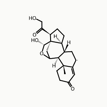 C[C@]12CCC(=O)C=C1[CH]C[C@H]1[C@@H]3CC[C@H](C(=O)CO)[C@@]34CC(O[C@@H]4O)[C@@H]12